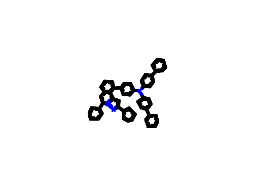 c1ccc(-c2ccc(N(c3ccc(-c4ccccc4)cc3)c3ccc(-c4cccc5cc(-c6ccccc6)n6nc(-c7ccccc7)cc6c45)cc3)cc2)cc1